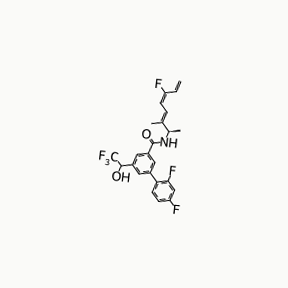 C=C/C(F)=C\C=C(/C)[C@@H](C)NC(=O)c1cc(-c2ccc(F)cc2F)cc(C(O)C(F)(F)F)c1